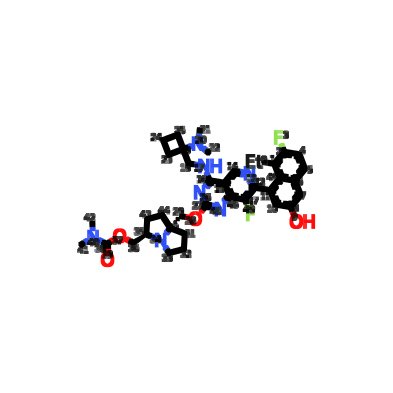 CCc1c(F)ccc2cc(O)cc(-c3ncc4c(NCC5(N(C)C)CCC5)nc(OC[C@]56CCCN5[C@@H](COC(=O)N(C)C)CC6)nc4c3F)c12